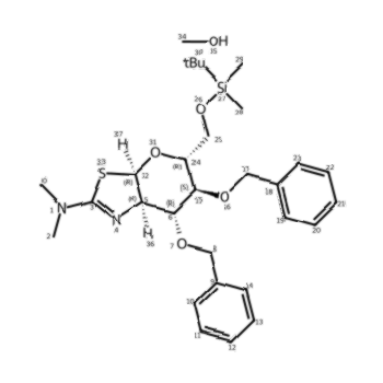 CN(C)C1=N[C@@H]2[C@@H](OCc3ccccc3)[C@H](OCc3ccccc3)[C@@H](CO[Si](C)(C)C(C)(C)C)O[C@@H]2S1.CO